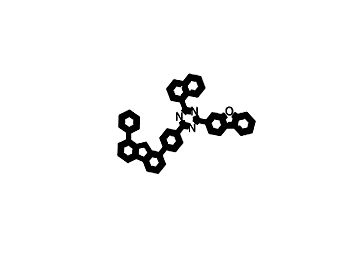 c1ccc(-c2cccc3c2Cc2c(-c4ccc(-c5nc(-c6ccc7c(c6)oc6ccccc67)nc(-c6cccc7ccccc67)n5)cc4)cccc2-3)cc1